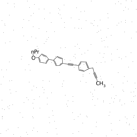 CC#CCc1ccc(C#Cc2ccc(-c3ccc(OCCC)cc3)cc2)cc1